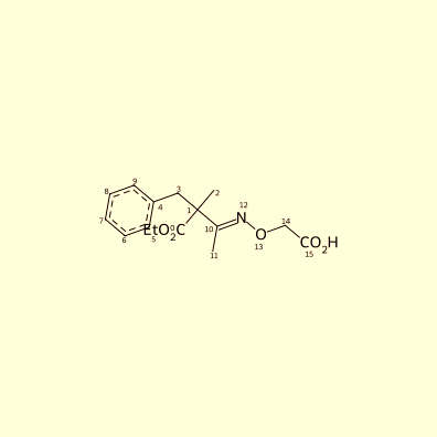 CCOC(=O)C(C)(Cc1ccccc1)C(C)=NOCC(=O)O